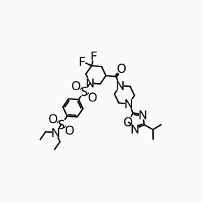 CCN(CC)S(=O)(=O)c1ccc(S(=O)(=O)N2CC(C(=O)N3CCN(c4nc(C(C)C)no4)CC3)CC(F)(F)C2)cc1